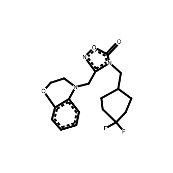 O=c1onc(CN2CCOc3ccccc32)n1CC1CCC(F)(F)CC1